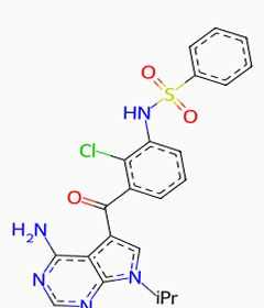 CC(C)n1cc(C(=O)c2cccc(NS(=O)(=O)c3ccccc3)c2Cl)c2c(N)ncnc21